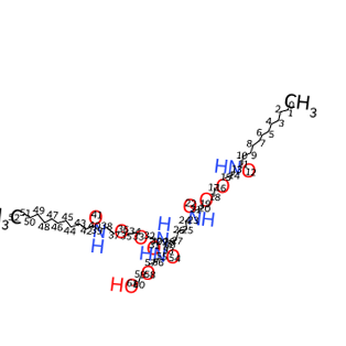 CCCCCCCCCCCC(=O)NCCOCCOCC(=O)NCCCC[C@H](NC(=O)COCCOCCNC(=O)CCCCCCCCCCC)C(=O)NCCOCCO